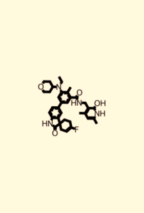 CCN(c1cc(-c2ccc3c(c2)C2(CC=C(F)CC2)C(=O)N3)cc(C(=O)NCC2=C(C)C=C(C)NC2O)c1C)C1CCOCC1